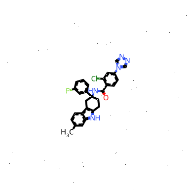 Cc1ccc2c3c([nH]c2c1)CCC(NC(=O)c1ccc(-n2cnnc2)cc1Cl)(c1cccc(F)c1)C3